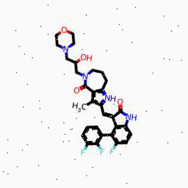 Cc1c(C=C2C(=O)Nc3ccc(F)c(-c4cccc(F)c4F)c32)[nH]c2c1C(=O)N(CC(O)CN1CCOCC1)CCC2